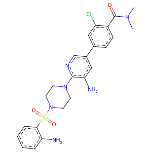 CN(C)C(=O)c1ccc(-c2cnc(N3CCN(S(=O)(=O)c4ccccc4N)CC3)c(N)c2)cc1Cl